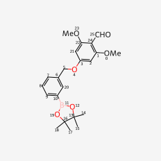 COc1cc(OCc2cccc(B3OC(C)(C)C(C)(C)O3)c2)cc(OC)c1C=O